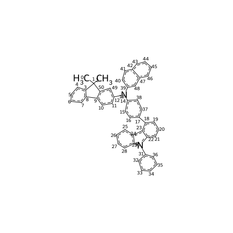 CC1(C)c2ccccc2-c2ccc(N(c3ccc(-c4cccc5c4c4ccccc4n5-c4ccccc4)cc3)c3ccc4ccccc4c3)cc21